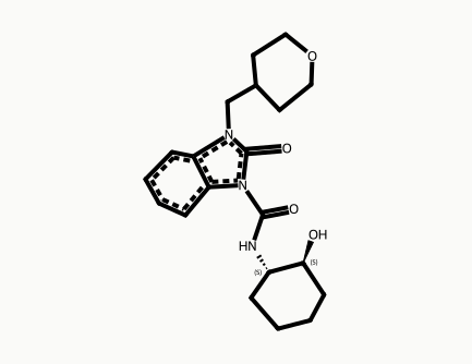 O=C(N[C@H]1CCCC[C@@H]1O)n1c(=O)n(CC2CCOCC2)c2ccccc21